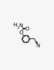 N#C[CH]c1cccc(OC(N)=O)c1